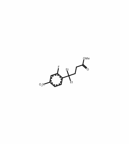 CCC(CC)(CCC(=O)OC)c1ccc([N+](=O)[O-])cc1F